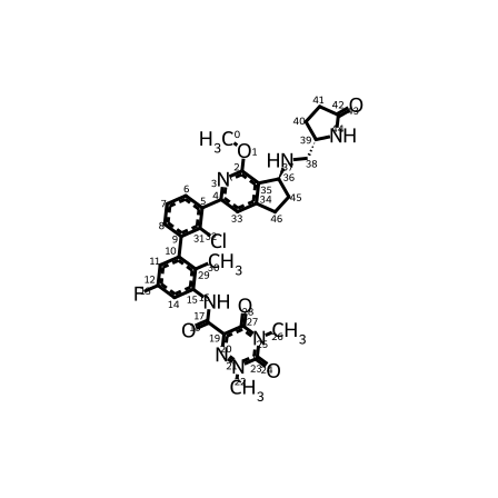 COc1nc(-c2cccc(-c3cc(F)cc(NC(=O)c4nn(C)c(=O)n(C)c4=O)c3C)c2Cl)cc2c1[C@@H](NC[C@@H]1CCC(=O)N1)CC2